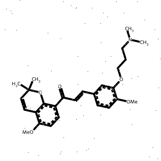 COc1ccc(C=CC(=O)c2ccc(OC)c3c2OC(C)(C)C=C3)cc1OCCCN(C)C